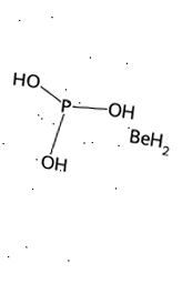 OP(O)O.[BeH2]